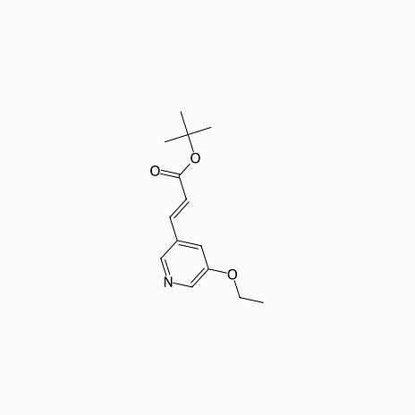 CCOc1cncc(/C=C/C(=O)OC(C)(C)C)c1